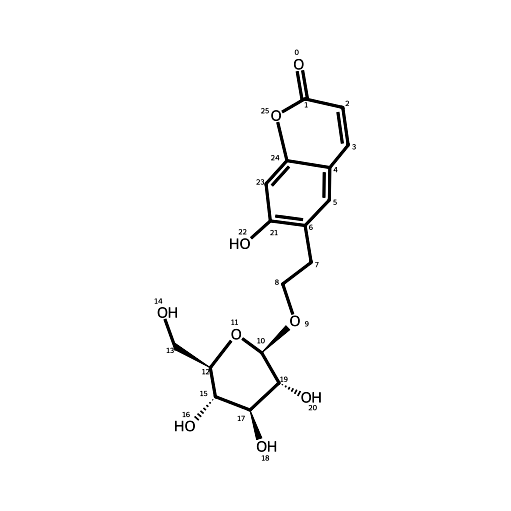 O=c1ccc2cc(CCO[C@@H]3O[C@H](CO)[C@@H](O)[C@H](O)[C@H]3O)c(O)cc2o1